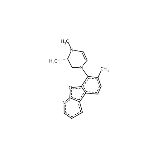 Cc1ccc2c(oc3ncccc32)c1N1C=CN(C)[C@@H](C)C1